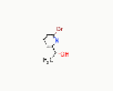 OC(c1cccc(Br)n1)C(F)(F)F